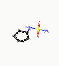 NS(=O)(=O)Nc1c[c]ccc1